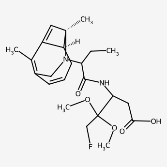 CCC(C(=O)NC(CC(=O)O)C(CF)(OC)OC)N1CC2=C(C)C3=C[C@]1(C)[C@H]3CC=C2